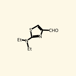 CCN(CC)c1nc(C=O)cs1